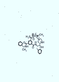 CC(C)CN1CCN[C@@H]([C@@H](O)[C@H](Cc2ccccc2)NC(=O)c2cc(C(=O)N[C@H](C)c3ccccc3)cc(N(C)S(C)(=O)=O)c2)C1